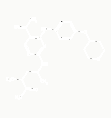 CC(CC(C)C(N)=O)Nc1ncc(C(N)=O)c(Nc2ccc(OC3CCOCC3)cc2)n1